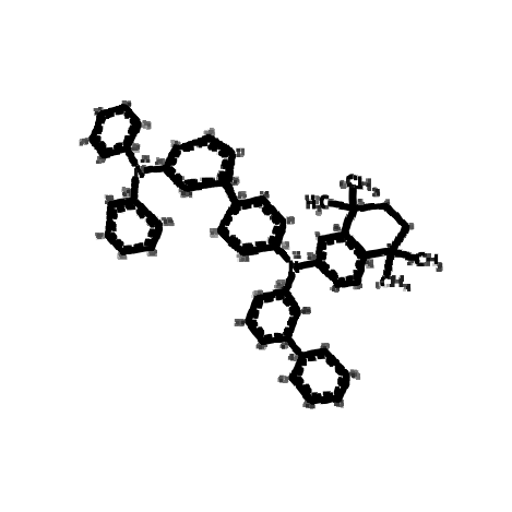 CC1(C)CCC(C)(C)c2cc(N(c3ccc(-c4cccc(N(c5ccccc5)c5ccccc5)c4)cc3)c3cccc(-c4ccccc4)c3)ccc21